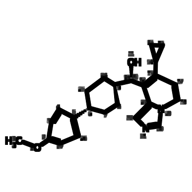 COc1ccc([C@H]2CC[C@H]([C@H](O)c3c(C4CC4)ccn4cncc34)CC2)cc1